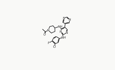 CC(=O)N1CCC(Nc2nc(Nc3ccc(F)c(Cl)c3)ncc2-c2cncnc2)CC1